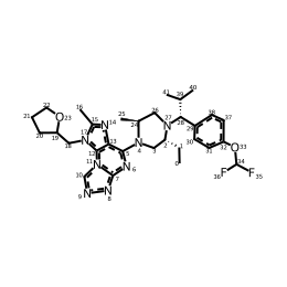 CC[C@@H]1CN(c2nc3nncn3c3c2nc(C)n3CC2CCCO2)[C@@H](C)CN1[C@@H](c1ccc(OC(F)F)cc1)C(C)C